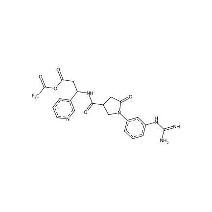 N=C(N)Nc1cccc(N2CC(C(=O)NC(CC(=O)OC(=O)C(F)(F)F)c3cccnc3)CC2=O)c1